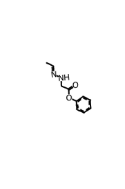 C/C=N/NCC(=O)Oc1ccccc1